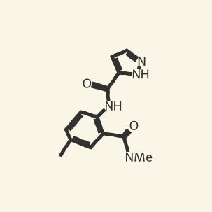 CNC(=O)c1cc(C)ccc1NC(=O)c1ccn[nH]1